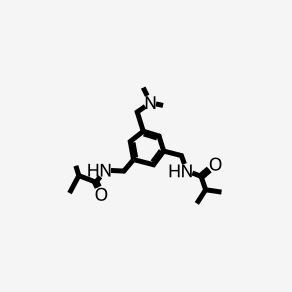 CC(C)C(=O)NCc1cc(CNC(=O)C(C)C)cc(CN(C)C)c1